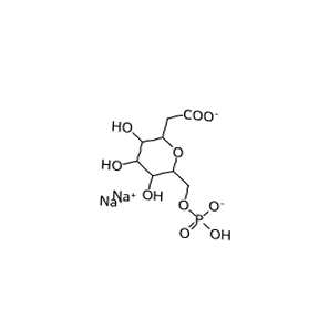 O=C([O-])CC1OC(COP(=O)([O-])O)C(O)C(O)C1O.[Na+].[Na+]